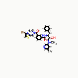 CC(C)c1cncc(N(C)C[C@@H](O)[C@H](Cc2ccccc2)NC(=O)c2cccc(C(=O)N(C)Cc3nc(Br)cs3)c2)c1